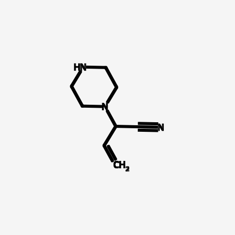 C=CC(C#N)N1CCNCC1